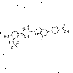 Cc1cc(-c2ccc(C(=O)O)cc2)cc(C)c1OCCN[C@@H](C)[C@@H](O)c1ccc(O)c(NS(C)(=O)=O)c1